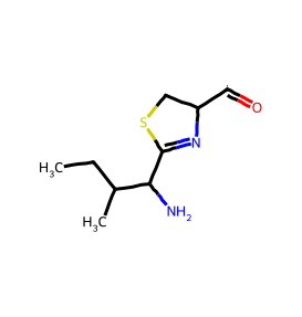 CCC(C)C(N)C1=NC([C]=O)CS1